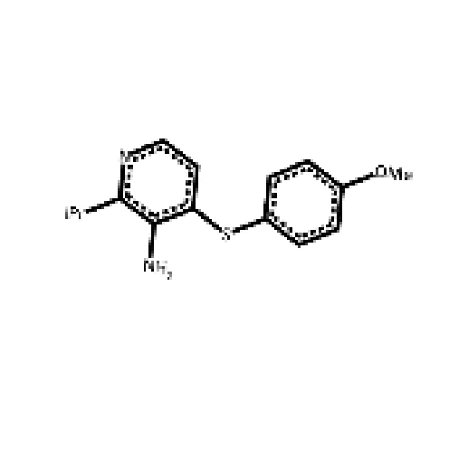 COc1ccc(Sc2ccnc(C(C)C)c2N)cc1